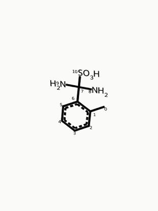 Cc1ccccc1C(N)(N)S(=O)(=O)O